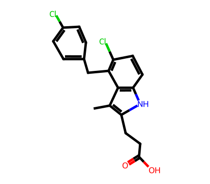 Cc1c(CCC(=O)O)[nH]c2ccc(Cl)c(Cc3ccc(Cl)cc3)c12